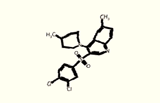 Cc1ccc2ncc(S(=O)(=O)c3ccc(Cl)c(Cl)c3)c(N3CCC(C)CC3)c2c1